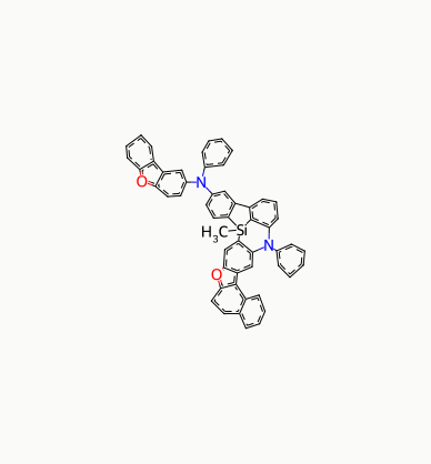 C[Si]12c3ccc(N(c4ccccc4)c4ccc5oc6ccccc6c5c4)cc3-c3cccc(c31)N(c1ccccc1)c1cc3c(cc12)oc1ccc2ccccc2c13